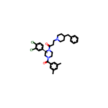 Cc1cc(C)cc(C(=O)N2CCN(C(=O)CCN3CCC(Cc4ccccc4)CC3)[C@H](c3ccc(Cl)c(Cl)c3)C2)c1